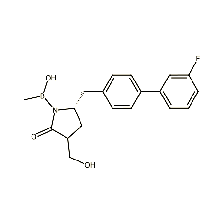 CB(O)N1C(=O)C(CO)C[C@H]1Cc1ccc(-c2cccc(F)c2)cc1